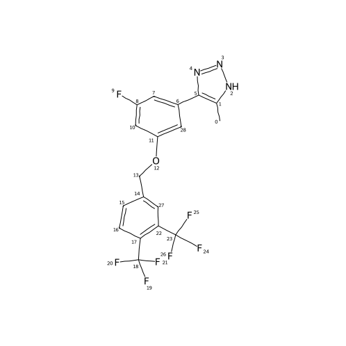 Cc1[nH]nnc1-c1cc(F)cc(OCc2ccc(C(F)(F)F)c(C(F)(F)F)c2)c1